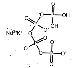 O=P([O-])([O-])OP(=O)([O-])OP(=O)([O-])OP(=O)(O)O.[K+].[Nd+3]